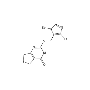 CCc1ncn(CC)c1CSc1nc2c(c(=O)[nH]1)CSC2